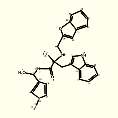 CC(NC(=O)C(C)(Cc1c[nH]c2ccccc12)NCc1cc2ccccc2o1)c1ccn(C)c1